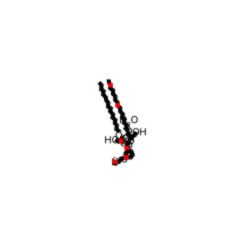 CCCCCCCCCCCCCCCCCCOCC(CO)OP(=O)(OCc1cccc(OCC[N+](C)(C)C)c1)OC(CO)COCCCCCCCCCCCCCCCCCC.O